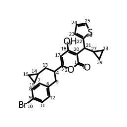 O=c1oc(C(Cc2ccc(Br)cc2)CC2CC2)cc(O)c1C(c1cccs1)C1CC1